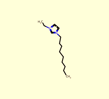 CCCCCCCCCn1cc[n+](CC)c1